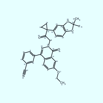 CCOc1ccc2c(-c3cccc(C#N)c3)nn(CC(=O)C3(c4ccc5c(c4)OC(C)(F)O5)CC3)c(=O)c2c1